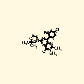 Cc1nc2c(-c3ccc(Cl)cc3F)nc(N3CCOC(C)(C)C3)nc2c(=O)n1C